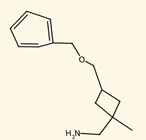 CC1(CN)CC(COCc2ccccc2)C1